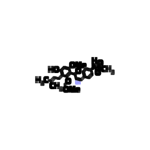 COCOc1c(CC=C(C)C)c(O)cc(OC)c1C(=O)/C=C\c1ccc(NS(C)(=O)=O)cc1